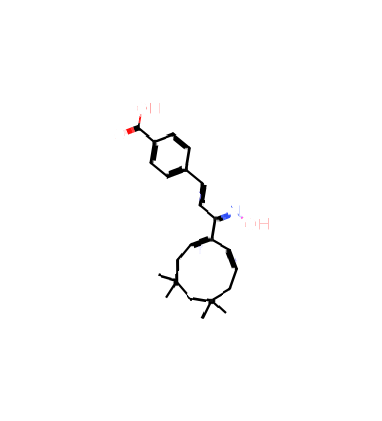 CC1(C)C\C=C/C(C(/C=C/c2ccc(C(=O)O)cc2)=N\O)=C\CC(C)(C)C1